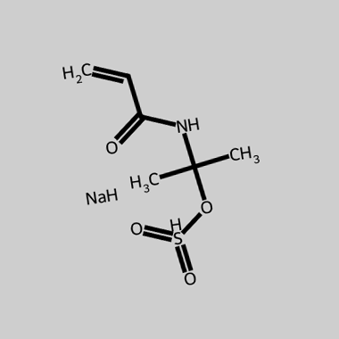 C=CC(=O)NC(C)(C)O[SH](=O)=O.[NaH]